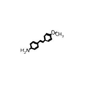 COc1ccc(/C=C/C2=CCC(N)C=C2)cc1